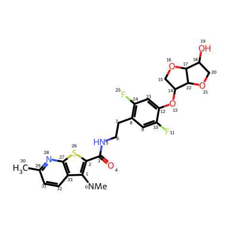 CNc1c(C(=O)NCCc2cc(F)c(OC3COC4C(O)COC34)cc2F)sc2nc(C)ccc12